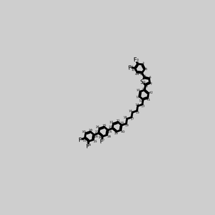 Fc1ccc(-c2ccc(-c3ccc(CCCCCCCc4ccc(-c5ccc(-c6ccc(F)c(F)c6)c(F)c5)cc4)cc3)s2)cc1F